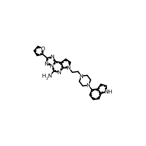 Nc1nc2c(ccn2CCN2CCN(c3cccc4[nH]ccc34)CC2)c2nc(-c3ccco3)nn12